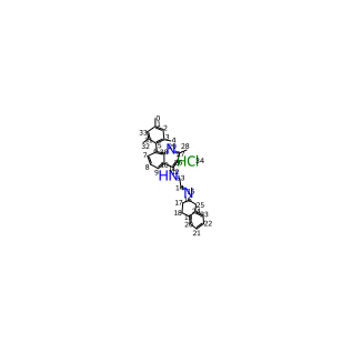 Cc1cc(C)c(-c2cccc3c(NCC=NC4CCc5ccccc5C4)cc(C)nc23)c(C)c1.Cl